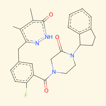 Cc1c(Cc2ccc(F)c(C(=O)N3CCN(C4CCc5ccccc54)C(=O)C3)c2)n[nH]c(=O)c1C